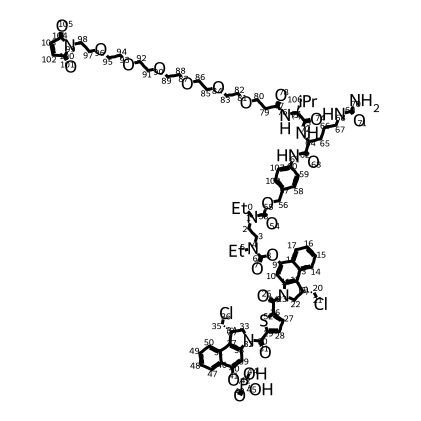 CCN(CCN(CC)C(=O)Oc1cc2c(c3ccccc13)[C@H](CCl)CN2C(=O)c1ccc(C(=O)N2C[C@@H](CCl)c3c2cc(OP(=O)(O)O)c2ccccc32)s1)C(=O)OCc1ccc(NC(=O)C(CCCNC(N)=O)NC(=O)[C@@H](NC(=O)CCOCCOCCOCCOCCOCCOCCN2C(=O)C=CC2=O)C(C)C)cc1